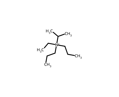 CCC[N+](CC)(CCC)C(C)C